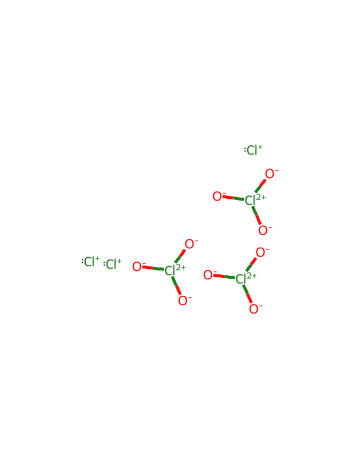 [Cl+].[Cl+].[Cl+].[O-][Cl+2]([O-])[O-].[O-][Cl+2]([O-])[O-].[O-][Cl+2]([O-])[O-]